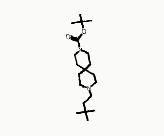 CC(C)(C)CCN1CCC2(CC1)CCN(C(=O)OC(C)(C)C)CC2